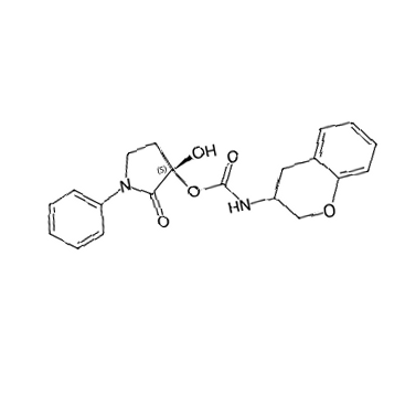 O=C(NC1COc2ccccc2C1)O[C@@]1(O)CCN(c2ccccc2)C1=O